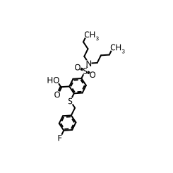 CCCCN(CCCC)S(=O)(=O)c1ccc(SCc2ccc(F)cc2)c(C(=O)O)c1